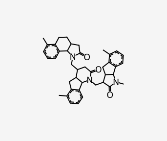 Cc1cccc2c1CC1C(CN3C(=O)CC(CN4C(=O)CC5CCc6c(C)cccc6C54)C4Cc5c(C)cccc5C43)C(=O)N(C)C21